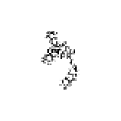 O=C(NCCCN1CCC(Cc2ccccc2)CC1)c1ccc2c(c1)N(Cc1ccc(F)cc1)C(=O)/C(=C/c1ccccc1)S2